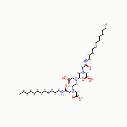 CCCCCCCCCCCCNC(=O)CN(CCN(CCN(CC(=O)O)CC(=O)NCCCCCCCCCCCC)CC(=O)O)CC(=O)O